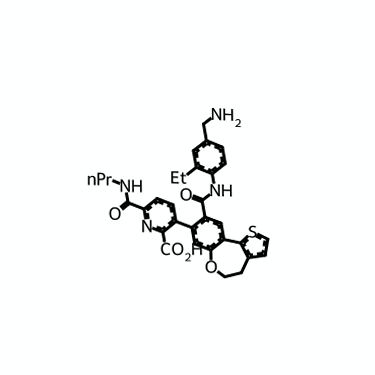 CCCNC(=O)c1ccc(-c2cc3c(cc2C(=O)Nc2ccc(CN)cc2CC)-c2sccc2CCO3)c(C(=O)O)n1